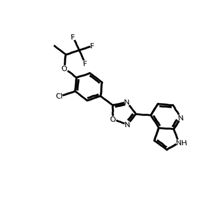 CC(Oc1ccc(-c2nc(-c3ccnc4[nH]ccc34)no2)cc1Cl)C(F)(F)F